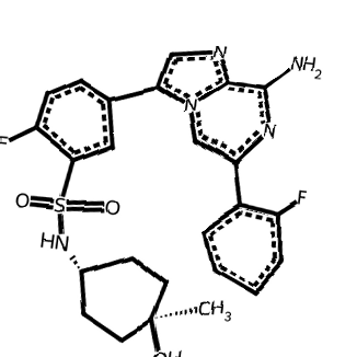 C[C@]1(O)CC[C@H](NS(=O)(=O)c2cc(-c3cnc4c(N)nc(-c5ccccc5F)cn34)ccc2F)CC1